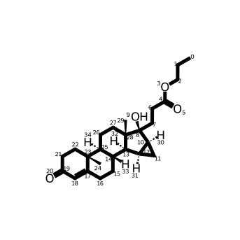 CCCOC(=O)CC[C@]1(O)[C@H]2C[C@H]2[C@H]2[C@@H]3CCC4=CC(=O)CC[C@]4(C)[C@H]3CC[C@@]21C